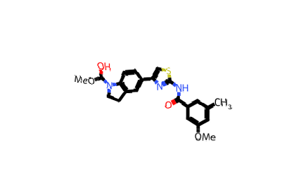 COC1=CC(C(=O)Nc2nc(-c3ccc4c(c3)CCN4C(O)OC)cs2)CC(C)=C1